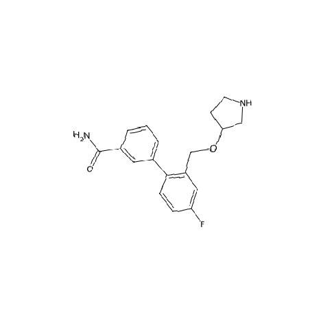 NC(=O)c1cccc(-c2ccc(F)cc2COC2CCNC2)c1